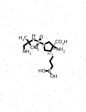 CC(C)(CN)NS(=O)(=O)N1C[C@@H](CCCB(O)O)[C@@](N)(C(=O)O)C1